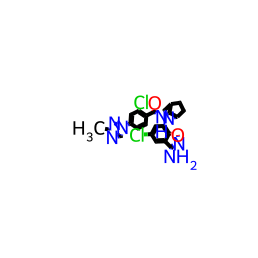 Cc1ncn(-c2ccc(C(=O)NC3C4CCC3N(c3cc(Cl)cc5c(N)noc35)C4)c(Cl)c2)n1